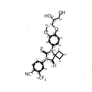 N#Cc1ccc(N2C(=O)C3(CCC3)N(c3ccc4c(c3)OC[C@H]([C@@H](O)CO)O4)C2=S)cc1C(F)(F)F